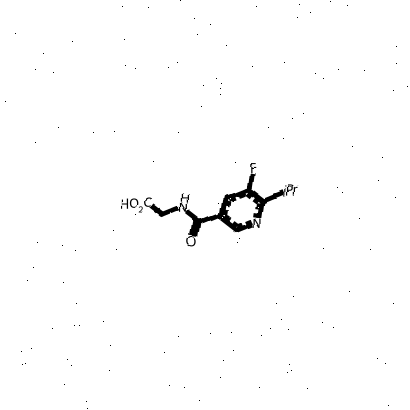 CC(C)c1ncc(C(=O)NCC(=O)O)cc1F